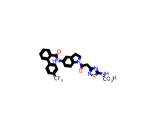 O=C(O)Nc1nc(CC(=O)N2CCc3cc(NC(=O)c4ccccc4-c4ccc(C(F)(F)F)cc4)ccc32)ns1